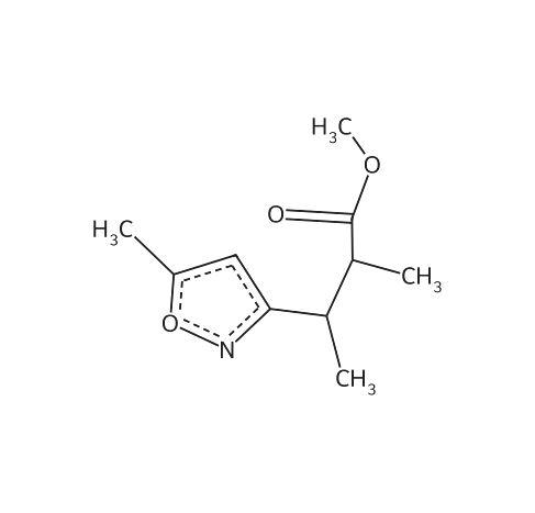 COC(=O)C(C)C(C)c1cc(C)on1